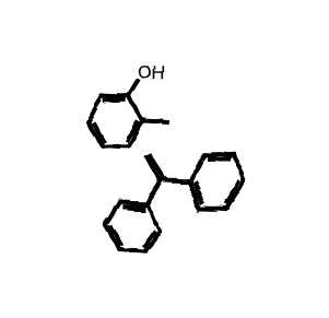 C=C(c1ccccc1)c1ccccc1.Cc1ccccc1O